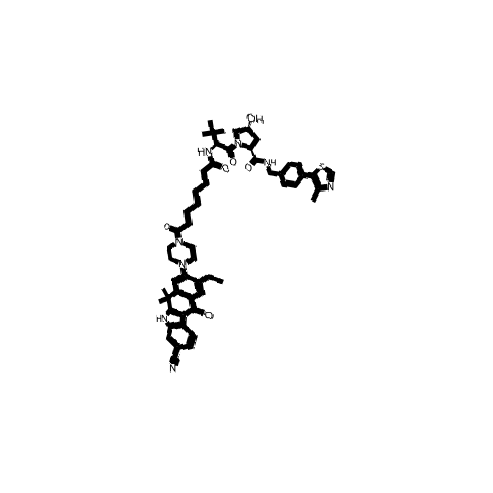 CCc1cc2c(cc1N1CCN(C(=O)CCCCCCC(=O)N[C@H](C(=O)N3C[C@H](O)C[C@H]3C(=O)NCc3ccc(-c4scnc4C)cc3)C(C)(C)C)CC1)C(C)(C)c1[nH]c3cc(C#N)ccc3c1C2=O